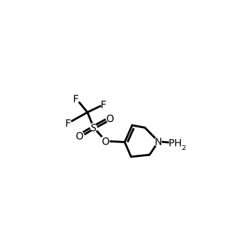 O=S(=O)(OC1=CCN(P)CC1)C(F)(F)F